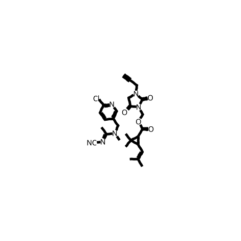 C#CCN1CC(=O)N(COC(=O)C2C(C=C(C)C)C2(C)C)C1=O.C/C(=N\C#N)N(C)Cc1ccc(Cl)nc1